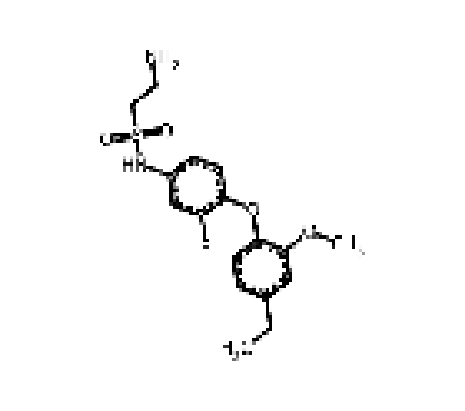 CCc1ccc(Oc2ccc(NS(=O)(=O)CCN)cc2F)c(OC)c1